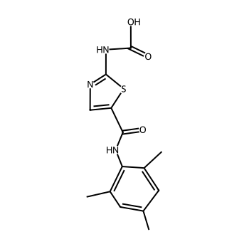 Cc1cc(C)c(NC(=O)c2cnc(NC(=O)O)s2)c(C)c1